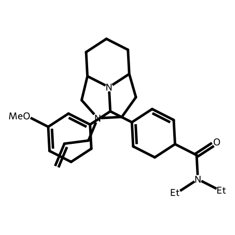 C=CCN1CCC2CCCC(C1)N2C(C1=CCC(C(=O)N(CC)CC)C=C1)C1=CC(OC)=CCC1